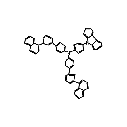 c1cc(-c2ccc(N(c3ccc(-c4cccc(-c5cccc6ccccc56)c4)cc3)c3ccc(-n4c5ccccc5c5ccccc54)cc3)cc2)cc(-c2cccc3ccccc23)c1